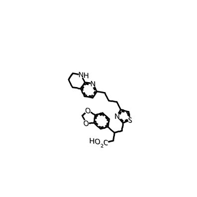 O=C(O)CC(Cc1nc(CCCc2ccc3c(n2)NCCC3)cs1)c1ccc2c(c1)OCO2